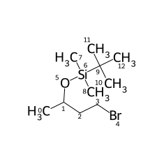 CC(CCBr)O[Si](C)(C)C(C)(C)C